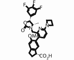 COc1cc2c(cc1-c1ccc(N3CCC3)nc1CN1C(=O)O[C@H](c3cc(F)c(F)c(F)c3)[C@@H]1C)[C@H](C(=O)O)CC2